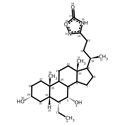 CC[C@H]1[C@@H](O)C2C3CCC([C@H](C)CCc4noc(=O)[nH]4)[C@@]3(C)CCC2[C@@]2(C)CC[C@@H](O)C[C@@H]12